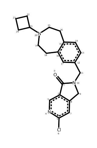 O=C1c2cnc(Cl)cc2CN1Cc1ccc2c(c1)CCN(C1CCC1)CC2